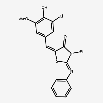 CCN1C(=O)/C(=C\c2cc(Cl)c(O)c(OC)c2)S/C1=N\c1ccccc1